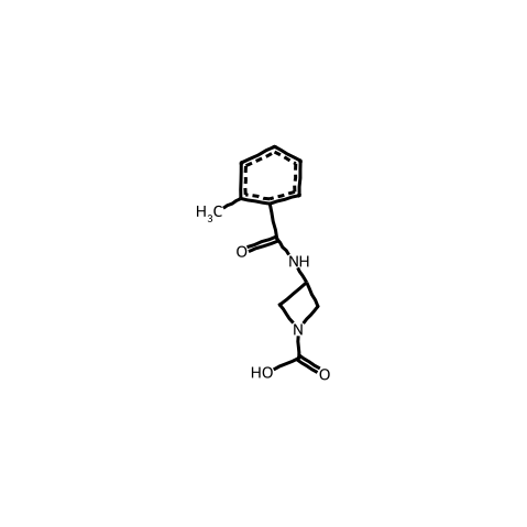 Cc1ccccc1C(=O)NC1CN(C(=O)O)C1